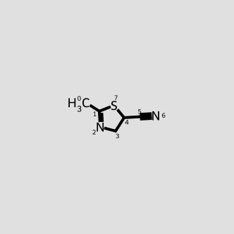 CC1=NCC(C#N)S1